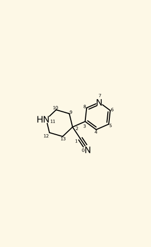 N#CC1(c2cccnc2)CCNCC1